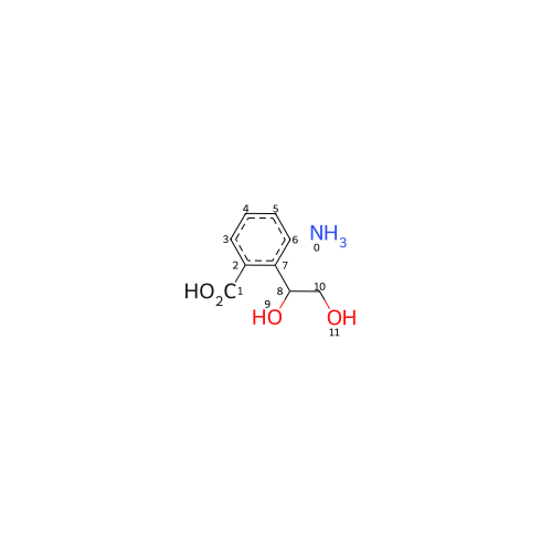 N.O=C(O)c1ccccc1C(O)CO